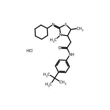 CC1SC(=NC2CCCCC2)N(C)C1CC(=O)Nc1ccc(C(C)(C)C)cc1.Cl